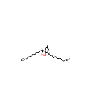 CCCCCCCCCCCCCCCCCC(C)(C)c1cc(C)cc(C(C)(C)CCCCCCCCCCCCCCCCC)c1O